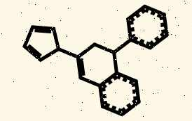 C1=CC(C2=Cc3ccccc3C(c3ccccc3)C2)C=C1